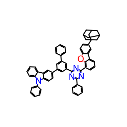 c1ccc(-c2cc(-c3ccc4c(c3)c3ccccc3n4-c3ccccc3)cc(-c3nc(-c4ccccc4)nc(-c4cccc5c4oc4ccc(C67CC8CC(CC(C8)C6)C7)cc45)n3)c2)cc1